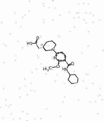 COc1nc(N2CCC[C@@H](CC(=O)O)C2)ccc1C(=O)NC1CCCCC1